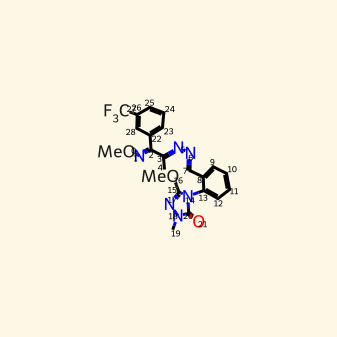 CO/N=C(/C(C)=N/N=C/c1ccccc1-n1c(OC)nn(C)c1=O)c1cccc(C(F)(F)F)c1